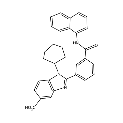 O=C(O)c1ccc2c(c1)nc(-c1cccc(C(=O)Nc3cccc4ccccc34)c1)n2C1CCCCC1